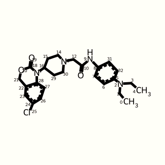 CCN(CC)c1ccc(NC(=O)CN2CCC(N3C(=O)OCc4cc(Cl)ccc43)CC2)cc1